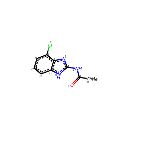 COC(=O)Nc1nc2c(Cl)cccc2[nH]1